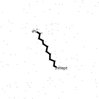 CCCCCCCCCCCCCCCCC[C](C)C